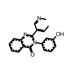 C/C=C(\C=N/C)c1nc2ccccc2c(=O)n1-c1cccc(O)c1